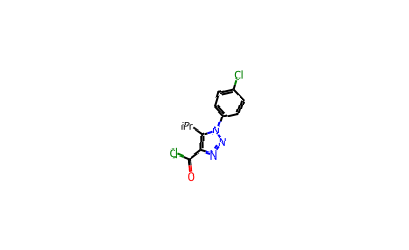 CC(C)c1c(C(=O)Cl)nnn1-c1ccc(Cl)cc1